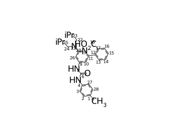 Cc1ccc(NC(=O)Nc2cc(-c3ccccc3C(=O)O)nc(N(CC(C)C)CC(C)C)c2)cc1